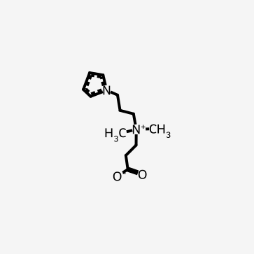 C[N+](C)(CCCn1cccc1)CCC(=O)[O-]